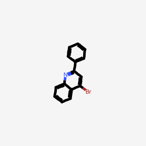 Brc1cc(-c2ccccc2)nc2ccccc12